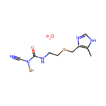 Cc1[nH]cnc1CSCCNC(=O)N(S)C#N.O